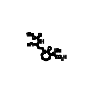 CCCC(CCN1CCCCC(N(C(=O)O)C(C)(C)C)C1=O)NC(=O)OC(C)(C)C